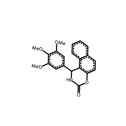 COc1cc(C2NC(=O)Oc3ccc4ccccc4c32)cc(OC)c1OC